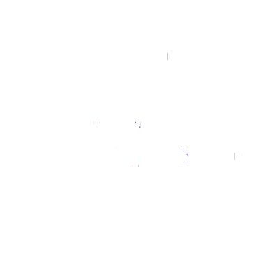 Cc1ccc(S(=O)(=O)n2cc(I)c3cc(Br)[nH]c32)cc1